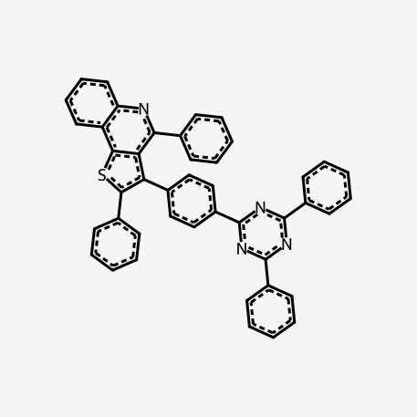 c1ccc(-c2nc(-c3ccccc3)nc(-c3ccc(-c4c(-c5ccccc5)sc5c4c(-c4ccccc4)nc4ccccc45)cc3)n2)cc1